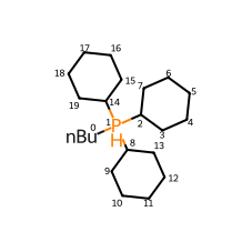 CCCC[PH](C1CCCCC1)(C1CCCCC1)C1CCCCC1